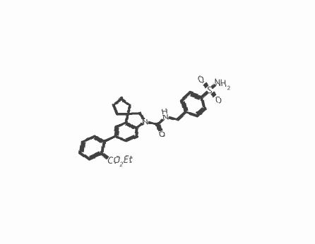 CCOC(=O)c1ccccc1-c1ccc2c(c1)C1(CCCC1)CN2C(=O)NCc1ccc(S(N)(=O)=O)cc1